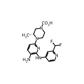 C[C@@H]1CN(C(=O)O)CCN1c1ccc(N)c(Nc2ccnc(C(F)F)c2)n1